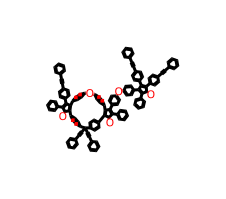 O=C1C(c2ccc(C#Cc3ccccc3)cc2)=C(c2ccc(C#Cc3ccccc3)cc2)C(c2ccc(Oc3ccc(C4=C(c5ccccc5)C(=O)C5=C4c4ccc(cc4)Oc4ccc(cc4)C4=C(C(=O)C(c6ccccc6)=C4c4ccc(C#Cc6ccccc6)cc4)c4ccc(cc4)C(C#Cc4ccccc4)(C#Cc4ccccc4)c4ccc5cc4)cc3)cc2)=C1c1ccccc1